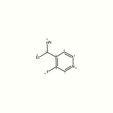 CCCC(CC)c1ccncc1F